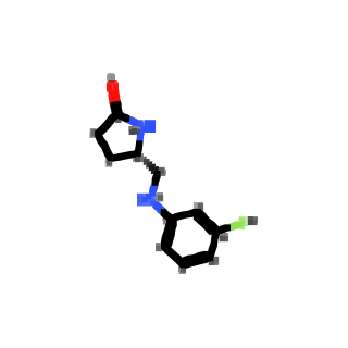 O=C1CC[C@@H](CNc2cccc(F)c2)N1